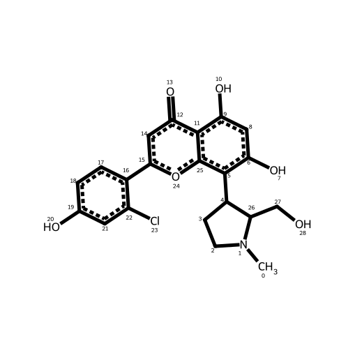 CN1CCC(c2c(O)cc(O)c3c(=O)cc(-c4ccc(O)cc4Cl)oc23)C1CO